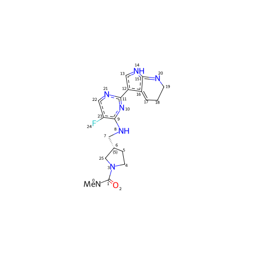 CNC(=O)N1CC[C@@H](CNc2nc(-c3c[nH]c4c3=CCCN=4)ncc2F)C1